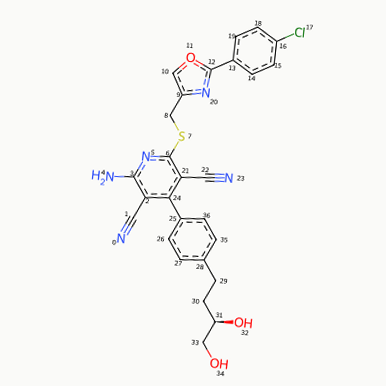 N#Cc1c(N)nc(SCc2coc(-c3ccc(Cl)cc3)n2)c(C#N)c1-c1ccc(CC[C@@H](O)CO)cc1